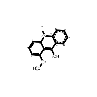 COC1=CC=CC2C1=C(O)c1ccccc1N2F